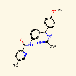 COC(=N)NC(c1ccc(OC(C)C)cc1)c1cccc(NC(=O)c2ccc(C#N)cn2)c1